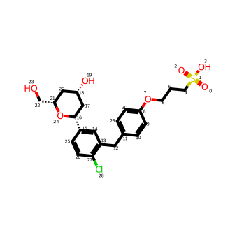 O=S(=O)(O)CCCOc1ccc(Cc2cc([C@H]3C[C@@H](O)C[C@@H](CO)O3)ccc2Cl)cc1